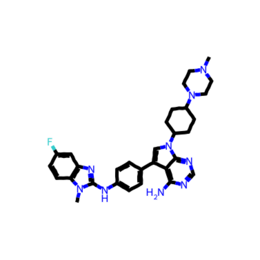 CN1CCN(C2CCC(n3cc(-c4ccc(Nc5nc6cc(F)ccc6n5C)cc4)c4c(N)ncnc43)CC2)CC1